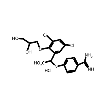 Cl.N=C(N)c1ccc(NC(C(=O)O)c2cc(Cl)cc(Cl)c2OCC(O)CO)cc1